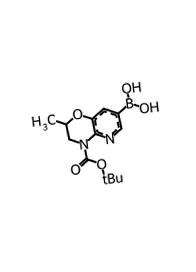 CC1CN(C(=O)OC(C)(C)C)c2ncc(B(O)O)cc2O1